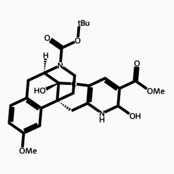 COC(=O)C1=CC2=C(C[C@]34CCN(C(=O)OC(C)(C)C)[C@H](Cc5ccc(OC)cc53)[C@]4(O)C2)NC1O